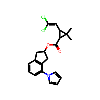 CC1(C)C(C=C(Cl)Cl)C1C(=O)OC1Cc2cccc(-n3cccc3)c2C1